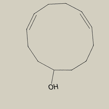 OC1CCC=CCCC=CCCC1